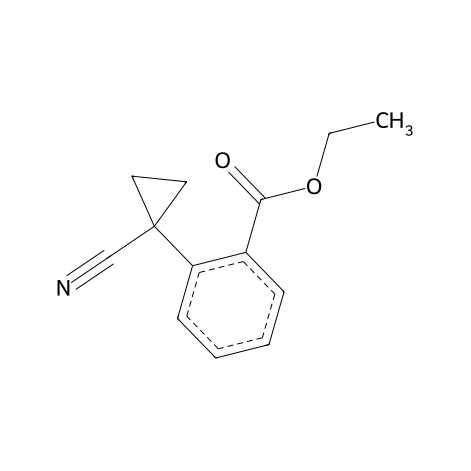 CCOC(=O)c1ccccc1C1(C#N)CC1